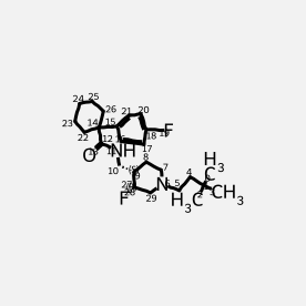 CC(C)(C)CCN1CC[C@@H](CNC(=O)C2(c3ccc(F)cc3)CCCCC2)[C@@H](F)C1